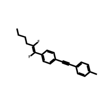 CCCCC(F)=C(F)c1ccc(C#Cc2ccc(C)cc2)cc1